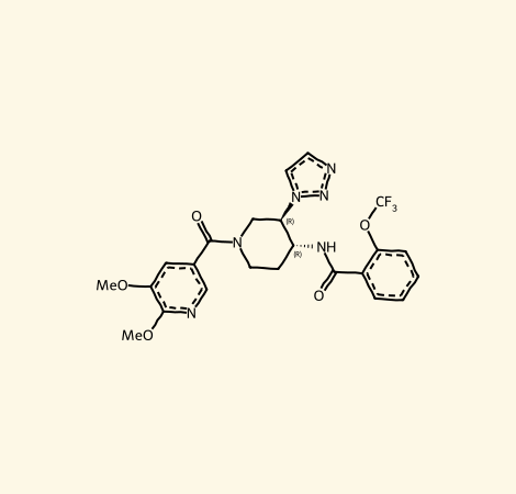 COc1cc(C(=O)N2CC[C@@H](NC(=O)c3ccccc3OC(F)(F)F)[C@H](n3ccnn3)C2)cnc1OC